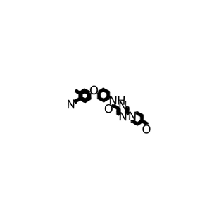 Cc1cc(OC2CCC(NC(=O)c3cnc(N4CCC(C=O)CC4)cn3)CC2)ccc1C#N